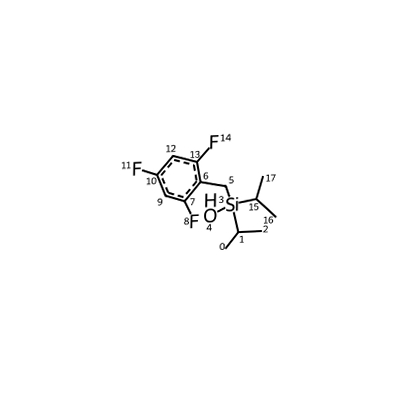 CC(C)[Si](O)(Cc1c(F)cc(F)cc1F)C(C)C